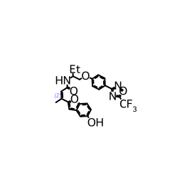 CCC(COc1ccc(-c2noc(C(F)(F)F)n2)cc1)NC(=O)/C=C(/C)c1cc2cc(O)ccc2o1